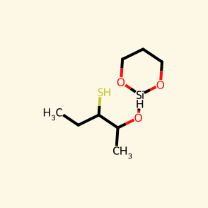 CCC(S)C(C)O[SiH]1OCCCO1